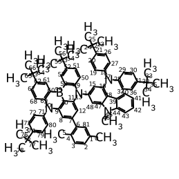 Cc1ccc(C)c(-c2cc3c4c(c2)N(c2cc(N(c5ccc(C(C)(C)C)cc5)c5ccc(C(C)(C)C)cc5)c5c6ccccc6n(C)c5c2)c2ccc(C(C)(C)C)cc2B4c2cc(C(C)(C)C)ccc2N3c2ccc(C(C)(C)C)cc2)c1